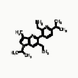 CCc1cc2c(nc1-c1ccc(C(C)C)nc1CN)c(C)cn2C(C)C